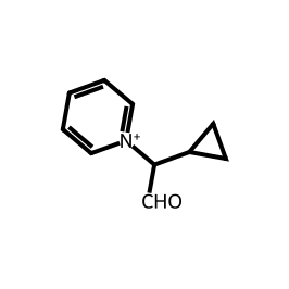 O=CC(C1CC1)[n+]1ccccc1